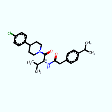 CC(C)c1ccc(CC(=O)N[C@@H](C(=O)N2CCC(c3ccc(Cl)cc3)CC2)C(C)C)cc1